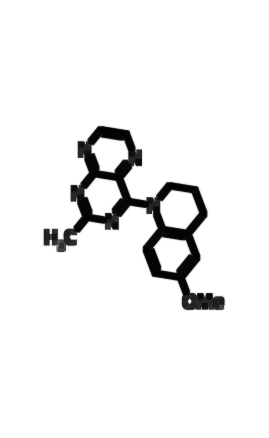 COc1ccc2c(c1)CCCN2c1nc(C)nc2nccnc12